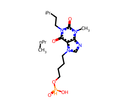 CC(C)CCn1c(=O)c2c(ncn2CCCCO[PH](=O)O)n(C)c1=O.CCCC